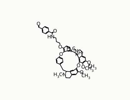 COc1cc2c3cc1Oc1c(OC)c(OC)cc4c1[C@@H](Cc1ccc(OCCCNC(=O)c5ccc(C=O)cc5)c(c1)Oc1ccc(cc1)CC3N(C)CC2)N(C)CC4